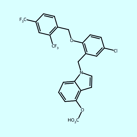 O=C(O)Oc1cccc2c1ccn2Cc1cc(Cl)ccc1OCc1ccc(C(F)(F)F)cc1C(F)(F)F